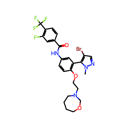 Cn1ncc(Br)c1-c1cc(NC(=O)c2ccc(C(F)(F)F)c(F)c2)ccc1OCCN1CCCCOC1